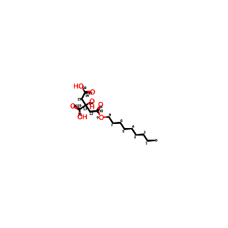 CCCCCCCCCOC(=O)CC(O)(CC(=O)O)C(=O)O